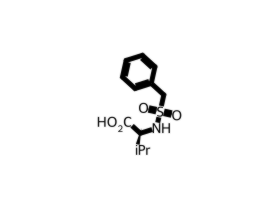 CC(C)[C@H](NS(=O)(=O)Cc1ccccc1)C(=O)O